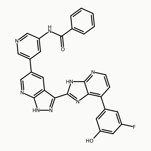 O=C(Nc1cncc(-c2cnc3[nH]nc(-c4nc5c(-c6cc(O)cc(F)c6)ccnc5[nH]4)c3c2)c1)c1ccccc1